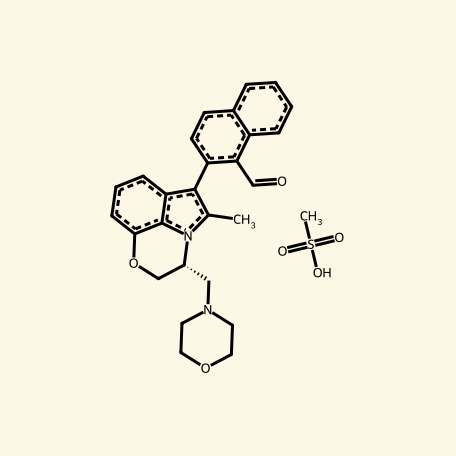 CS(=O)(=O)O.Cc1c(-c2ccc3ccccc3c2C=O)c2cccc3c2n1[C@H](CN1CCOCC1)CO3